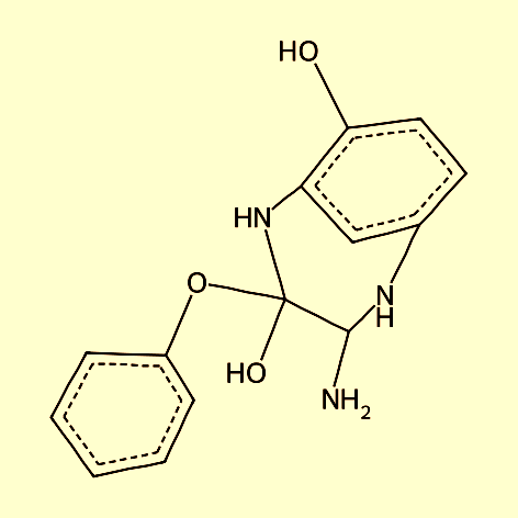 NC1Nc2ccc(O)c(c2)NC1(O)Oc1ccccc1